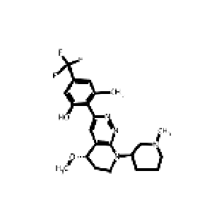 CO[C@H]1CCN([C@@H]2CCCN(C)C2)c2nnc(-c3c(C)cc(C(F)(F)F)cc3O)cc21